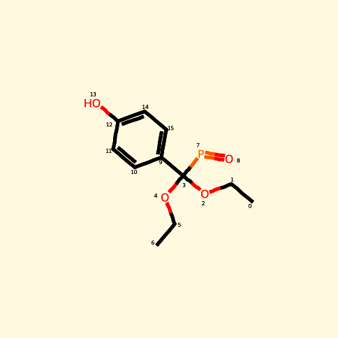 CCOC(OCC)(P=O)c1ccc(O)cc1